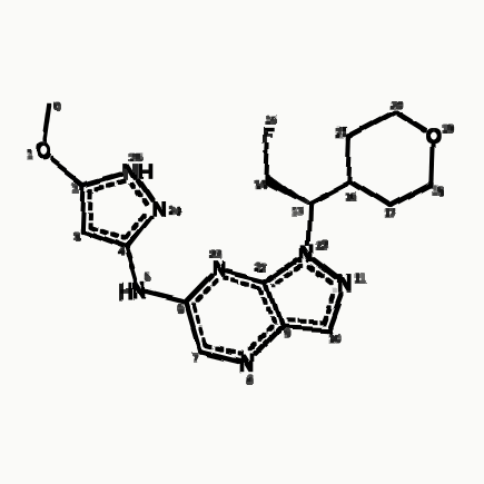 COc1cc(Nc2cnc3cnn([C@@H](CF)C4CCOCC4)c3n2)n[nH]1